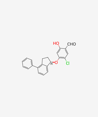 O=Cc1cc(Cl)c(O[C@@H]2CCc3c(-c4ccccc4)cccc32)cc1O